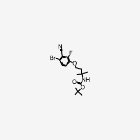 CC(C)(CCOc1ccc(Br)c(C#N)c1F)NC(=O)OC(C)(C)C